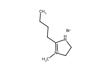 CCCCC1=[N+](C)CCN1.[Br-]